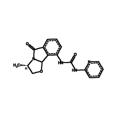 C[C@H]1COC2c3c(NC(=O)Nc4ccccn4)cccc3C(=O)N21